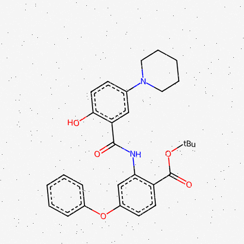 CC(C)(C)OC(=O)c1ccc(Oc2ccccc2)cc1NC(=O)c1cc(N2CCCCC2)ccc1O